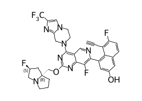 C#Cc1c(F)ccc2cc(O)cc(-c3ncc4c(N5CCn6cc(C(F)(F)F)nc6C5)nc(OC[C@]56CCCN5C[C@@H](F)C6)nc4c3F)c12